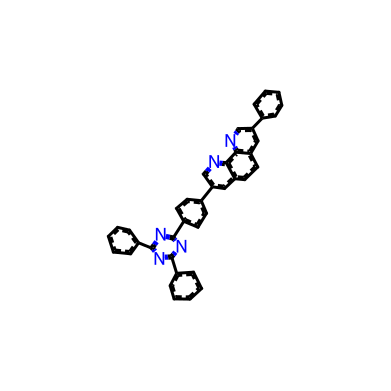 c1ccc(-c2cnc3c(ccc4cc(-c5ccc(-c6nc(-c7ccccc7)nc(-c7ccccc7)n6)cc5)cnc43)c2)cc1